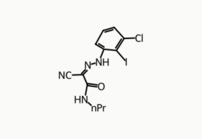 CCCNC(=O)C(C#N)=NNc1cccc(Cl)c1I